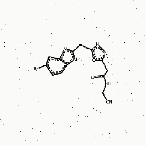 N#CCNC(=O)Cc1nnc(Cc2nc3cc(Br)ccc3[nH]2)o1